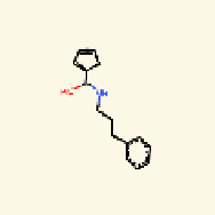 OC(NCCCc1ccccc1)C1=CC=CC1